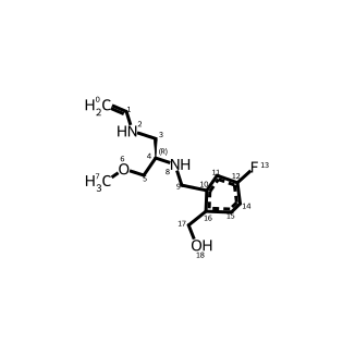 C=CNC[C@H](COC)NCc1cc(F)ccc1CO